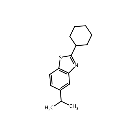 CC(C)c1ccc2sc(C3CCCCC3)nc2c1